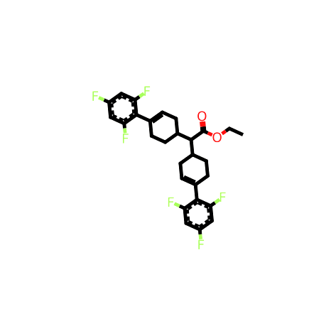 CCOC(=O)C(C1CC=C(c2c(F)cc(F)cc2F)CC1)C1CC=C(c2c(F)cc(F)cc2F)CC1